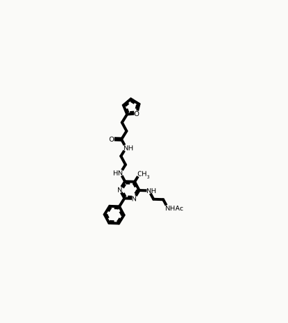 CC(=O)NCCNc1nc(-c2ccccc2)nc(NCCNC(=O)CCc2ccco2)c1C